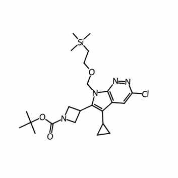 CC(C)(C)OC(=O)N1CC(c2c(C3CC3)c3cc(Cl)nnc3n2COCC[Si](C)(C)C)C1